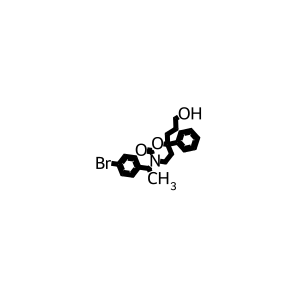 CC(c1ccc(Br)cc1)N1CCC(CCCO)(c2ccccc2)OC1=O